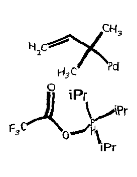 C=C[C](C)(C)[Pd].CC(C)[PH](OC(=O)C(F)(F)F)(C(C)C)C(C)C